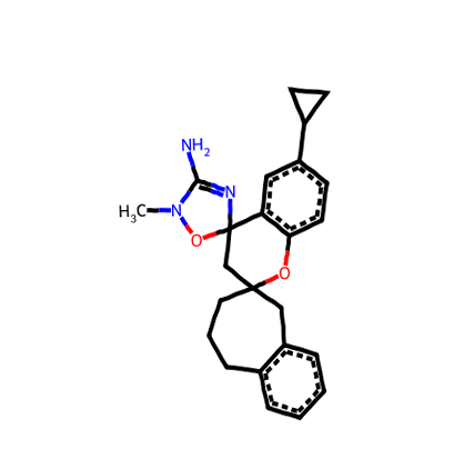 CN1OC2(CC3(CCCc4ccccc4C3)Oc3ccc(C4CC4)cc32)N=C1N